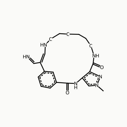 Cn1cc2c(n1)C(=O)NCCCCCCN/C=C(\C=N)c1cccc(c1)C(=O)N2